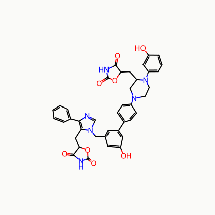 O=C1NC(=O)C(Cc2c(-c3ccccc3)ncn2Cc2cc(O)cc(-c3ccc(N4CCN(c5cccc(O)c5)C(CC5OC(=O)NC5=O)C4)cc3)c2)O1